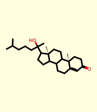 CC(C)CCCC(C)(O)C1CCC2C3CCC4=CC(=O)CC[C@]4(C)C3CC[C@@]21C